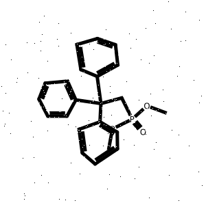 COP(=O)(CC(c1ccccc1)(c1ccccc1)c1ccccc1)OC